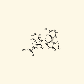 COC(=O)N1CC2(C1)C(=O)N(Cc1ncc3ccccc3c1-c1ccnc(F)c1)c1ccccc12